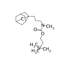 CN(CCCC12CC3CC(CC1C3)C2)C(=O)OCC[Si](C)(C)C